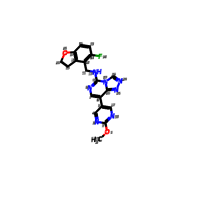 COc1ncc(-c2cnc(NCc3c(F)ccc4c3CCO4)n3cnnc23)cn1